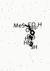 CSCC[C@H](NC(=O)c1cccc(S(=O)(=O)NC[C@@H]2C[C@H](S)CN2)c1)C(=O)O